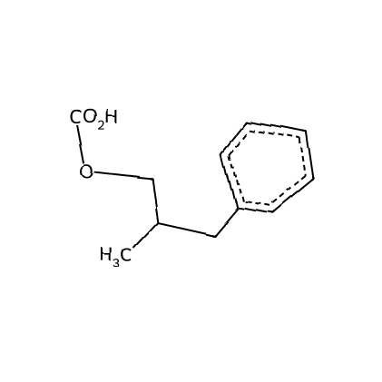 CC(COC(=O)O)Cc1ccccc1